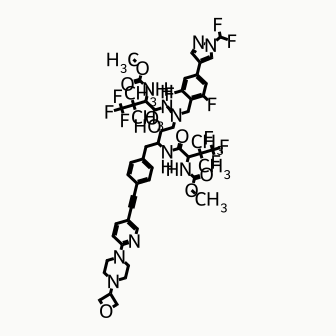 COC(=O)NC(C(=O)NC(Cc1ccc(C#Cc2ccc(N3CCN(C4COC4)CC3)nc2)cc1)C(O)CN(Cc1c(F)cc(-c2cnn(C(F)F)c2)cc1F)NC(=O)C(NC(=O)OC)C(C)(C)C(F)(F)F)C(C)(C)C(F)(F)F